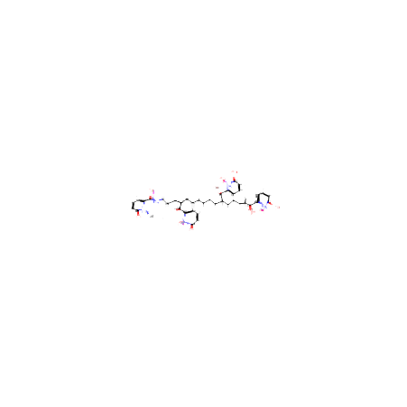 CC(CCCC(CCCCCCC(CCCNC(=O)c1cccc(=O)n1C)C(=O)c1cccc(=O)n1O)C(=O)c1cccc(=O)n1O)C(=O)c1cccc(=O)n1O